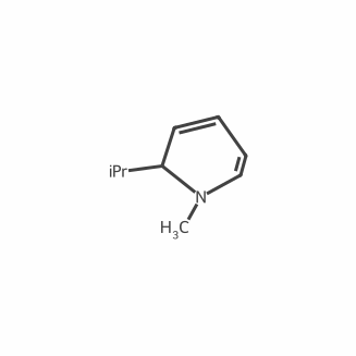 CC(C)C1C=CC=CN1C